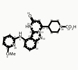 COc1cccc(Nc2cccc3nn4c(C5CCN(C(=O)O)CC5)cc(=O)[nH]c4c23)n1